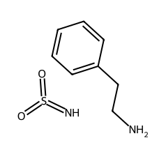 N=S(=O)=O.NCCc1ccccc1